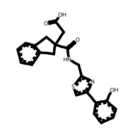 O=C(O)CC1(C(=O)NCc2nc(-c3ccccc3O)cs2)Cc2ccccc2C1